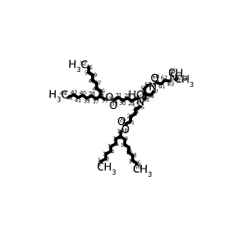 CCCCCCCCC(CCCCCCCC)COC(=O)CCCCCN(CCCCCC(=O)OCC(CCCCCCCC)CCCCCCCC)CC1(O)CCN(C(=O)CCCN(C)C)CC1